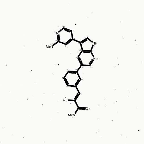 CNC(=O)/C(C#N)=C/c1cccc(-c2cnc3[nH]cc(-c4ccnc(NC)c4)c3c2)c1